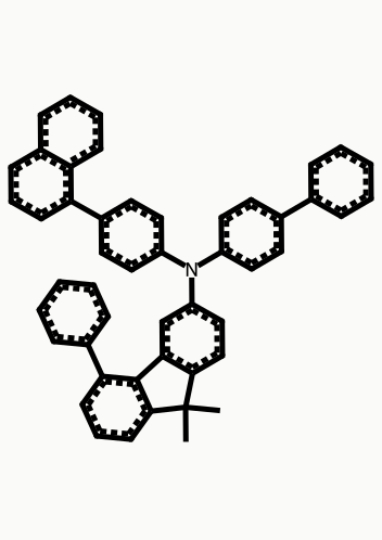 CC1(C)c2ccc(N(c3ccc(-c4ccccc4)cc3)c3ccc(-c4cccc5ccccc45)cc3)cc2-c2c(-c3ccccc3)cccc21